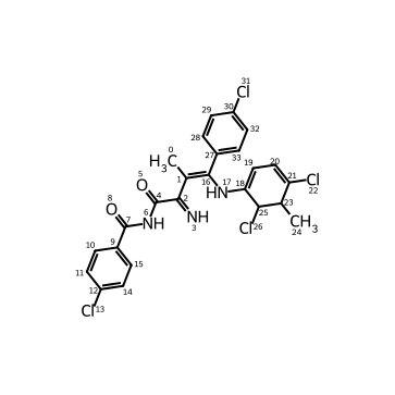 C/C(C(=N)C(=O)NC(=O)c1ccc(Cl)cc1)=C(/NC1=CC=C(Cl)C(C)C1Cl)c1ccc(Cl)cc1